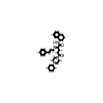 O=C(NC1CCCc2ccccc21)C(CCC(=O)N1CCN(C2CCCCC2)CC1)N=CC=Cc1ccccc1